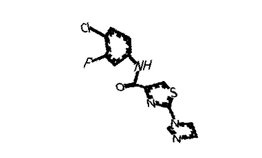 O=C(Nc1ccc(Cl)c(F)c1)c1csc(-n2ccnc2)n1